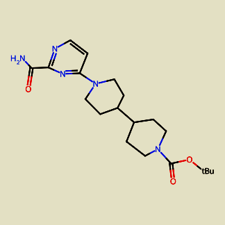 CC(C)(C)OC(=O)N1CCC(C2CCN(c3ccnc(C(N)=O)n3)CC2)CC1